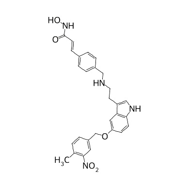 Cc1ccc(COc2ccc3[nH]cc(CCNCc4ccc(/C=C/C(=O)NO)cc4)c3c2)cc1[N+](=O)[O-]